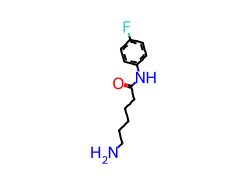 NCCCCCC(=O)Nc1ccc(F)cc1